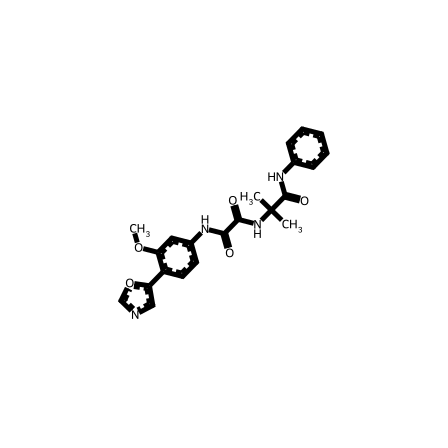 COc1cc(NC(=O)C(=O)NC(C)(C)C(=O)Nc2ccccc2)ccc1-c1cnco1